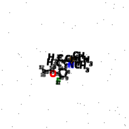 CC(C)(C)S/N=C(/c1ccc(F)c(OCC2CC2)c1)C(C)(C)C